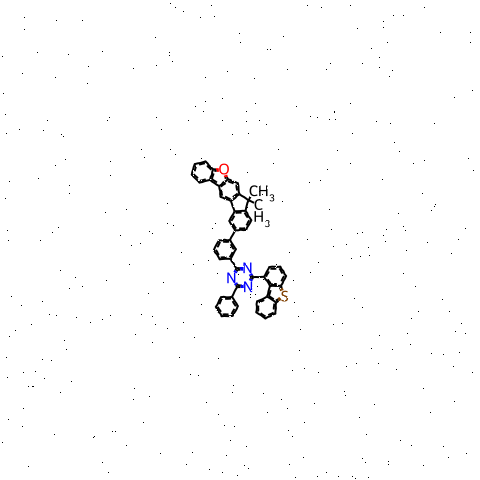 CC1(C)c2ccc(-c3cccc(-c4nc(-c5ccccc5)nc(-c5cccc6sc7ccccc7c56)n4)c3)cc2-c2cc3c(cc21)oc1ccccc13